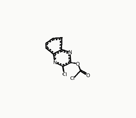 O=C(Cl)Oc1nc2ccccc2nc1Cl